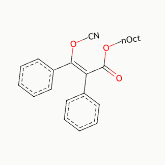 CCCCCCCCOC(=O)C(=C(OC#N)c1ccccc1)c1ccccc1